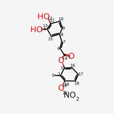 Cc1c(OC(=O)C=Cc2ccc(O)c(O)c2)cccc1O[N+](=O)[O-]